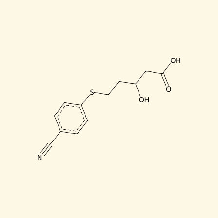 N#Cc1ccc(SCCC(O)CC(=O)O)cc1